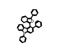 c1cccc(-c2ccc3c(c2-c2oc(-c4ccccc4)c4c2CCC=C4)c2ccccc2n3-c2ccccc2)c#1